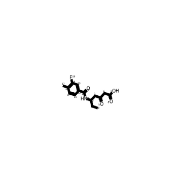 CCC(CC(=O)CC(=O)O)NC(=O)c1ccc(C)c(F)c1